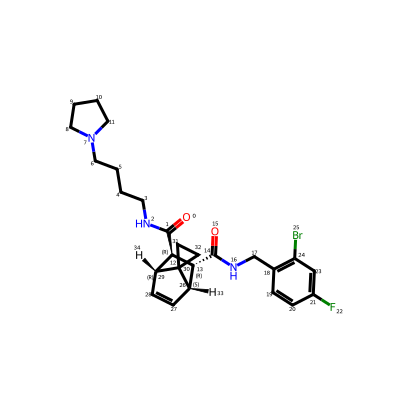 O=C(NCCCCN1CCCC1)[C@H]1[C@H](C(=O)NCc2ccc(F)cc2Br)[C@@H]2C=C[C@H]1C21CC1